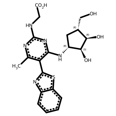 Cc1nc(NCC(=O)O)nc(N[C@@H]2C[C@H](CO)[C@@H](O)[C@H]2O)c1-c1nc2ccccc2s1